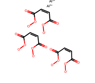 O=C(/C=C\C(=O)O[O-])O[O-].O=C(/C=C\C(=O)O[O-])O[O-].O=C(/C=C\C(=O)O[O-])O[O-].[Al+3].[Al+3]